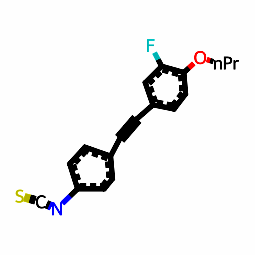 CCCOc1ccc(C#Cc2ccc(N=C=S)cc2)cc1F